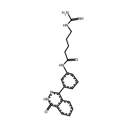 N=C(N)NCCCCC(=O)Nc1cccc(-c2n[nH]c(=O)c3ccccc23)c1